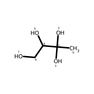 CC(O)(O)C(O)CO